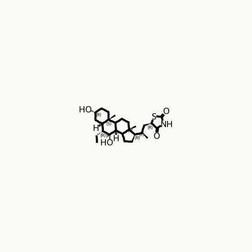 CC[C@H]1[C@@H](O)[C@H]2C3CC[C@H]([C@H](C)C[C@H]4SC(=O)NC4=O)[C@@]3(C)CCC2[C@@]2(C)CC[C@@H](O)C[C@@H]12